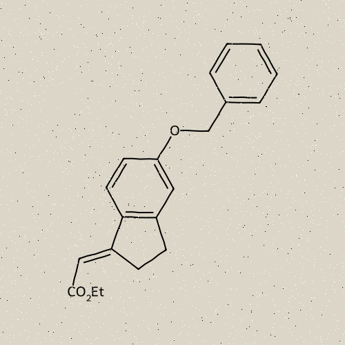 CCOC(=O)C=C1CCc2cc(OCc3ccccc3)ccc21